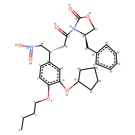 CCCCOc1ccc([C@@H](CC(=O)N2C(=O)OC[C@H]2Cc2ccccc2)C[N+](=O)[O-])cc1OC1CCCC1